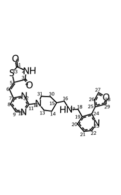 O=C1NC(=O)/C(=C\c2ccnc(N3CCC(CNCc4cccnc4-c4ccoc4)CC3)n2)S1